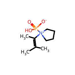 CC(C)=C(C)[N+]1(P(=O)([O-])O)CCCC1